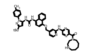 Cc1ccc(-n2nc(C(C)(C)C)cc2NC(=O)Nc2ccc(OCc3ccnc(Nc4cnc(C(=O)N5CCCCCNCC5)cn4)c3)c3ccccc23)cc1